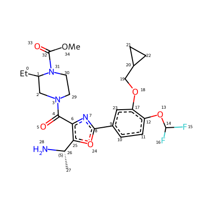 CCC1CN(C(=O)c2nc(-c3ccc(OC(F)F)c(OCC4CC4)c3)oc2[C@H](C)N)CCN1C(=O)OC